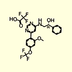 COc1cc(OC(F)(F)F)ccc1-c1cc(NC[C@H](O)c2ccccc2)ncn1.O=C(O)C(F)(F)F